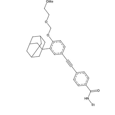 CCNC(=O)c1ccc(C#Cc2ccc(OCOCCOC)c(C34CC5CC(CC(C5)C3)C4)c2)cc1